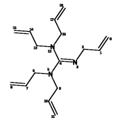 C=CCN=C(N(CC=C)CC=C)N(CC=C)CC=C